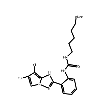 CCCCCCCCCCCCCCCNC(=O)Nc1ccccc1-c1nn2nc(C(C)(C)C)c(Cl)c2[nH]1